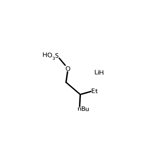 CCCCC(CC)COS(=O)(=O)O.[LiH]